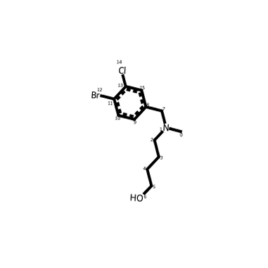 CN(CCCCO)Cc1ccc(Br)c(Cl)c1